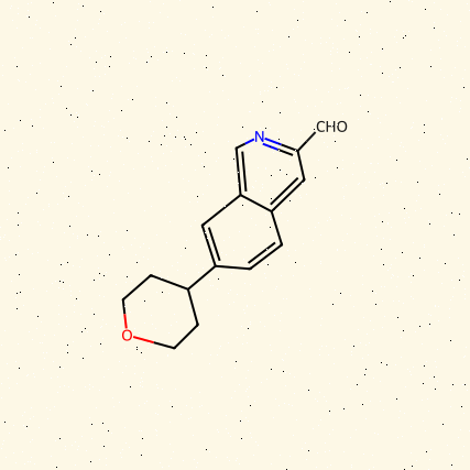 O=Cc1cc2ccc(C3CCOCC3)cc2cn1